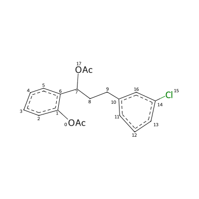 CC(=O)Oc1ccccc1C(CCc1cccc(Cl)c1)OC(C)=O